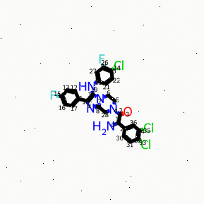 NC(C(=O)N1CCn2c(nc(-c3ccc(F)cc3)c2Nc2ccc(Cl)c(F)c2)C1)c1ccc(Cl)c(Cl)c1